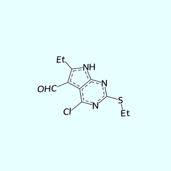 CCSc1nc(Cl)c2c(C=O)c(CC)[nH]c2n1